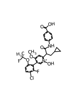 COc1cc(C(CC2CC2)C(=O)Nc2ccc(C(=O)O)cc2)[n+](O)cc1-c1c(OC(C)F)ccc(Cl)c1F